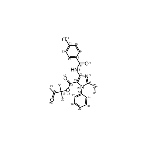 CSc1nc(NC(=O)c2ccc(Cl)cc2)c(C(=O)OC(C)(C)C(C)=O)n1-c1ccccc1